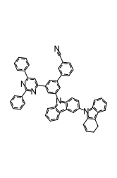 N#Cc1cccc(-c2cc(-c3cc(-c4ccccc4)nc(-c4ccccc4)n3)cc(-n3c4ccccc4c4cc(-n5c6c(c7ccccc75)CCC=C6)ccc43)c2)c1